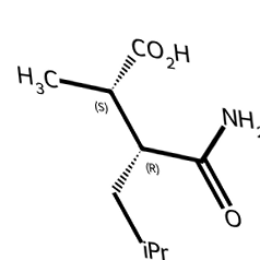 CC(C)C[C@@H](C(N)=O)[C@H](C)C(=O)O